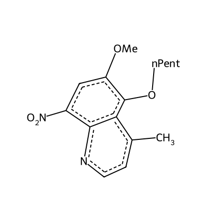 CCCCCOc1c(OC)cc([N+](=O)[O-])c2nccc(C)c12